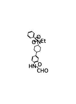 CCN(C1CCC(c2ccc3c(c2)OC(C=O)N3)CC1)S(=O)(=O)c1ccccc1